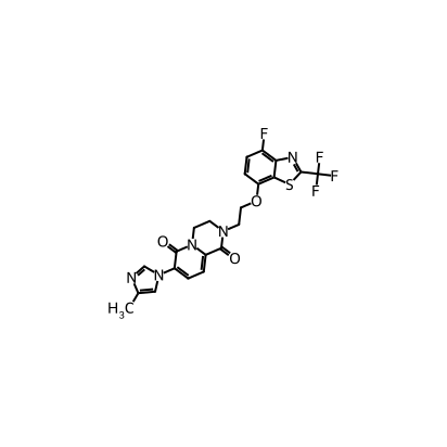 Cc1cn(-c2ccc3n(c2=O)CCN(CCOc2ccc(F)c4nc(C(F)(F)F)sc24)C3=O)cn1